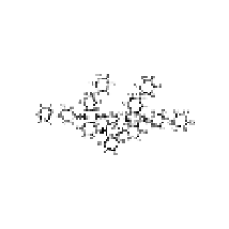 c1ccc(-c2ccc(N3c4ccc(-c5ccccc5)cc4B4c5sc6c7c5N(c5ccccc5N7c5cccc7c5B6c5ccc(-c6ccccc6)cc5N7c5ccc(-c6ccccc6)cc5)c5cccc3c54)cc2)cc1